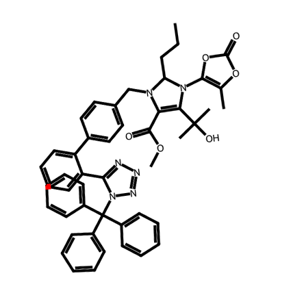 CCCC1N(Cc2ccc(-c3ccccc3-c3nnnn3C(c3ccccc3)(c3ccccc3)c3ccccc3)cc2)C(C(=O)OC)=C(C(C)(C)O)N1c1oc(=O)oc1C